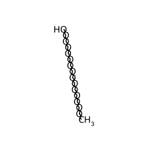 CCCOCCOCCOCCOCCOCCOCCOCCOCCOCCOCCOCCOCCOCCOCCO